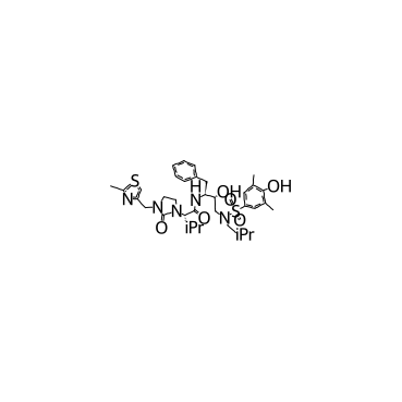 Cc1nc(CN2CCN([C@H](C(=O)N[C@@H](Cc3ccccc3)[C@H](O)CN(CC(C)C)S(=O)(=O)c3cc(C)c(O)c(C)c3)C(C)C)C2=O)cs1